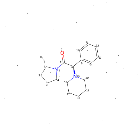 C[C@H]1CCCN1C(=O)[C@@H](c1ccccc1)N1CCCCC1